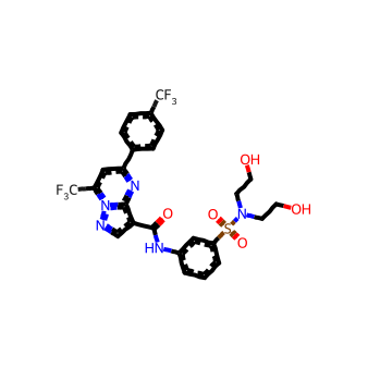 O=C(Nc1cccc(S(=O)(=O)N(CCO)CCO)c1)c1cnn2c(C(F)(F)F)cc(-c3ccc(C(F)(F)F)cc3)nc12